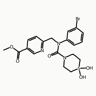 COC(=O)c1ccc(CN(C(=O)N2CCS(O)(O)CC2)c2cccc(Br)c2)nc1